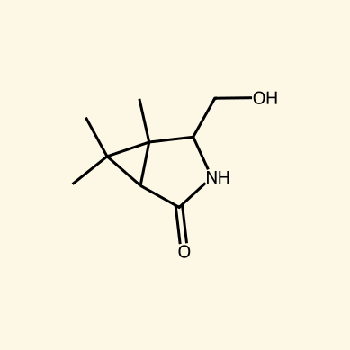 CC1(C)C2C(=O)NC(CO)C21C